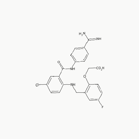 N=C(N)c1ccc(NC(=O)c2cc(Cl)ccc2NCc2cc(F)ccc2OCC(=O)O)cc1